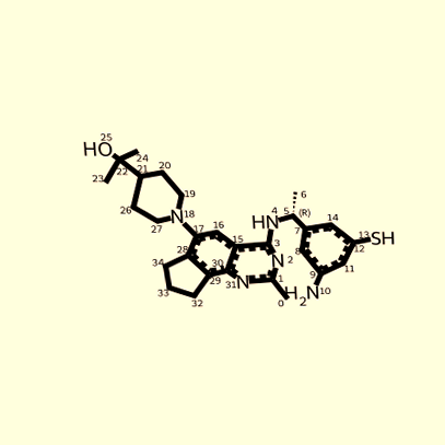 Cc1nc(N[C@H](C)c2cc(N)cc(S)c2)c2cc(N3CCC(C(C)(C)O)CC3)c3c(c2n1)CCC3